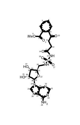 COC(=O)c1ccccc1C(=O)CCC(=O)NS(=O)(=O)NC[C@H]1O[C@@H](n2cnc3c(N)ncnc32)[C@H](O)[C@@H]1O